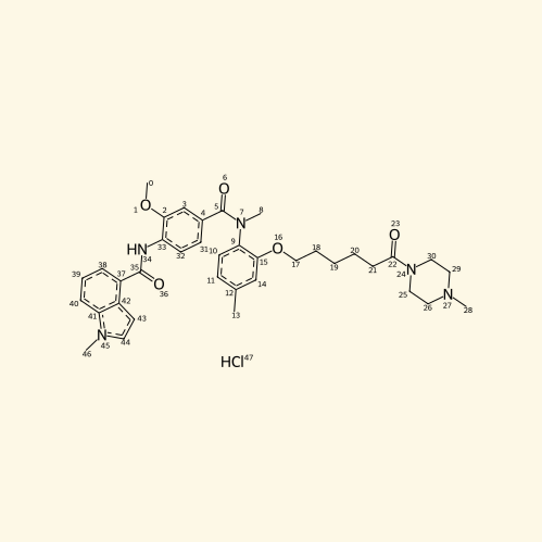 COc1cc(C(=O)N(C)c2ccc(C)cc2OCCCCCC(=O)N2CCN(C)CC2)ccc1NC(=O)c1cccc2c1ccn2C.Cl